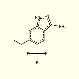 CCc1cc2[nH]nc(N)c2cc1C(F)(F)F